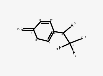 FC(F)(F)C(Br)C1=CCC(=S)C=C1